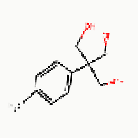 Cc1ccc(C(CO)(CO)CO)cc1